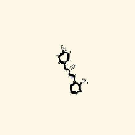 [O-][S+](/C=C/c1ccccc1C(F)(F)F)Cc1ccc(F)cc1